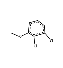 [CH2]Sc1cccc(Cl)c1Cl